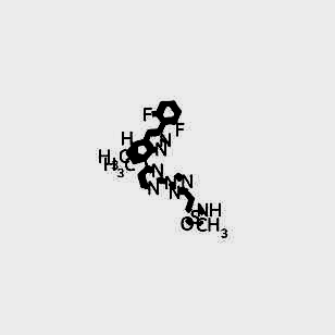 CC1(C)[C@H]2CC[C@@]1(c1ccnc(-n3cnc(CCS(C)(=N)=O)n3)n1)c1nnc(-c3c(F)cccc3F)cc12